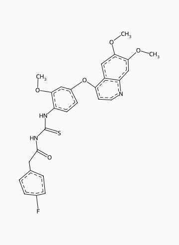 COc1cc(Oc2ccnc3cc(OC)c(OC)cc23)ccc1NC(=S)NC(=O)Cc1ccc(F)cc1